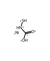 O=C(O)NS.[Ni]